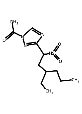 CCCC(CC)CC(c1ncn(C(N)=O)n1)[SH](=O)=O